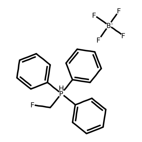 FC[PH](c1ccccc1)(c1ccccc1)c1ccccc1.F[B-](F)(F)F